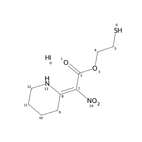 I.O=C(OCCS)/C(=C1/CCCCN1)[N+](=O)[O-]